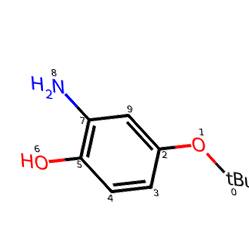 CC(C)(C)Oc1ccc(O)c(N)c1